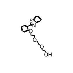 OCCOCCOCCOc1ccccc1-c1nc2ccccc2s1